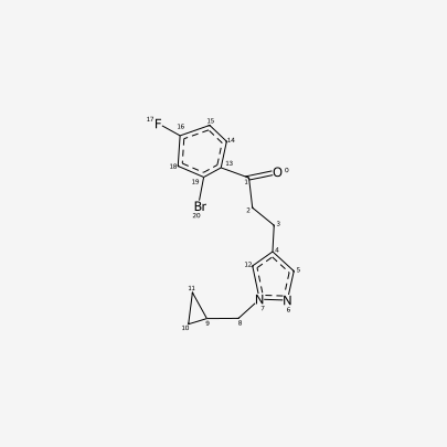 O=C(CCc1cnn(CC2CC2)c1)c1ccc(F)cc1Br